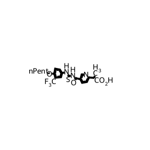 CCCCCOc1ccc(NC(=S)NC(=O)c2ccc(C(C)C(=O)O)nc2)cc1C(F)(F)F